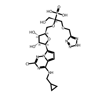 O=P(O)(O)[C@](CO)(COCc1nn[nH]n1)OC[C@H]1O[C@@H](c2ccc3c(NCC4CC4)nc(Cl)nn23)[C@H](O)[C@@H]1O